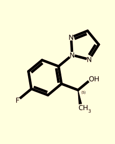 C[C@H](O)c1cc(F)ccc1-n1nccn1